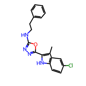 Cc1c(-c2nnc(NCCc3ccccc3)o2)[nH]c2ccc(Cl)cc12